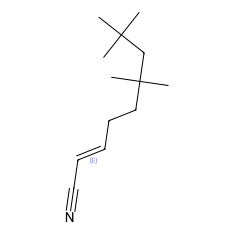 CC(C)(C)CC(C)(C)CC/C=C/C#N